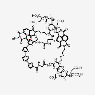 CCCN1C(=O)c2ccc3c4c(ccc(c24)C1=O)C(=O)N(CCCCC[C@H](NC(=O)CNC(=O)CNC(=O)c1ccc(-c2ccc(-c4ccc(-c5ccc(C(=O)NCC(=O)NCC(=O)N[C@@H](CCCCN6C(=O)c7ccc8c9c(ccc(c79)C6=O)C(=O)N(CCC)C8=O)C(=O)N[C@@H](CC(=O)O)C(=O)N[C@@H](C)C(=O)N[C@@H](CC(=O)O)C(=O)O)s5)s4)s2)s1)C(=O)N[C@@H](CC(=O)O)C(=O)N[C@@H](C)C(=O)N[C@@H](CC(=O)O)C(=O)O)C3=O